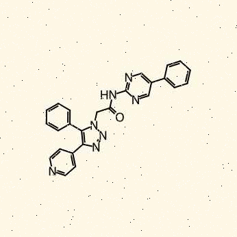 O=C(Cn1nnc(-c2ccncc2)c1-c1ccccc1)Nc1ncc(-c2ccccc2)cn1